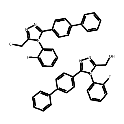 Fc1ccccc1-n1c(CCl)nnc1-c1ccc(-c2ccccc2)cc1.OCc1nnc(-c2ccc(-c3ccccc3)cc2)n1-c1ccccc1F